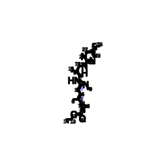 C=N/C(=C\C=C(/C)[C@H]1C[C@@H]1C(=O)OCC)NC[C@@H](C)CNc1ncc(SC)cn1